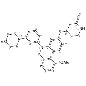 COc1cccc(CN(c2cccc(N3CCOCC3)c2)c2ccnc(CN3CCNC(=O)C3)c2)c1